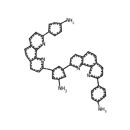 Nc1ccc(-c2ccc3ccc4ccc(-c5cc(N)cc(-c6ccc7ccc8ccc(-c9ccc(N)cc9)nc8c7n6)c5)nc4c3n2)cc1